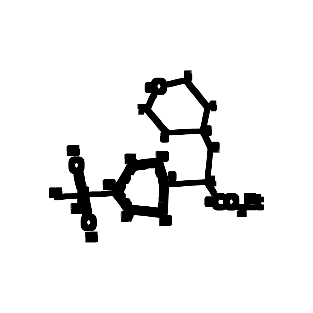 CCOC(=O)C(CC1CCOCC1)c1ccc(S(C)(=O)=O)cc1